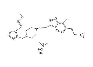 CNC.CON=Cc1ccsc1CN1CCC(CCc2noc3c(C)c(OCC4CC4)ccc23)CC1.Cl.Cl